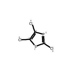 Clc1pc(Cl)c(Cl)s1